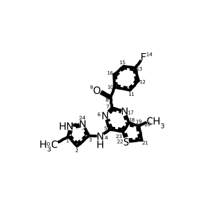 Cc1cc(Nc2nc(C(=O)c3ccc(F)cc3)nc3c(C)csc23)n[nH]1